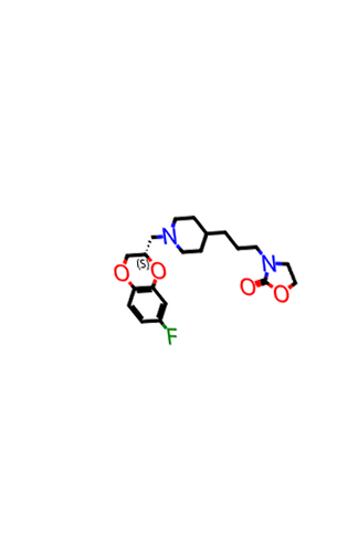 O=C1OCCN1CCCC1CCN(C[C@H]2COc3ccc(F)cc3O2)CC1